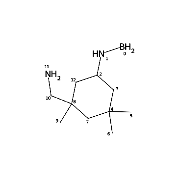 BNC1CC(C)(C)CC(C)(CN)C1